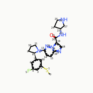 CSc1cc(F)cc([C@H]2CCCN2c2ccc3ncc(C(=O)N[C@H]4CCNC4)n3n2)c1